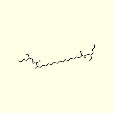 CCCCC(CC)COC(=O)CCCCCCCCCCCCCCCC(C)C(=O)OCC(CC)CCCC